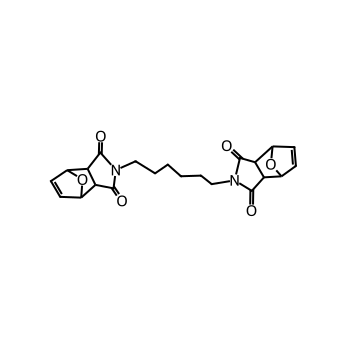 O=C1C2C3C=CC(O3)C2C(=O)N1CCCCCCN1C(=O)C2C3C=CC(O3)C2C1=O